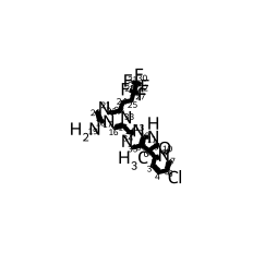 CC1(c2ccc(Cl)cn2)C(=O)Nc2nc(-c3cn4c(N)cnc4c(CCC(F)(F)C(F)(F)F)n3)ncc21